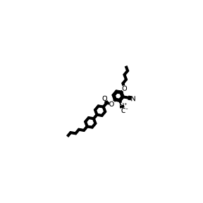 [C-]#[N+]c1c(OC(=O)C2CCC(C3CCC(CCCCC)CC3)CC2)ccc(OCCCCC)c1C#N